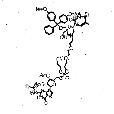 COc1ccc(C(OC[C@]2(CO)CN(CCOCCOCCOP(=O)(OCCC#N)OC[C@H]3O[C@@H](n4cnc5c(=O)[nH]c(NC(=O)C(C)C)nc54)[C@H](OC(C)=O)[C@@H]3OC(C)=O)C[C@H](n3cc(C)c(=O)[nH]c3=O)O2)(c2ccccc2)c2ccc(OC)cc2)cc1